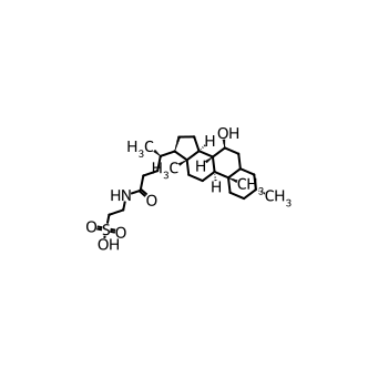 C[C@@H]1CC[C@@]2(C)C(C1)C[C@H](O)[C@H]1[C@@H]3CC[C@H]([C@H](C)CCC(=O)NCCS(=O)(=O)O)[C@@]3(C)CC[C@@H]12